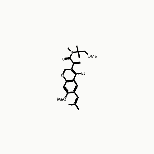 C=C(C(=O)N(C)C(C)(C)COC)C1=C(CC)c2cc(C=C(C)C)c(OC)cc2OC1